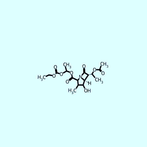 CCOC(=O)OC(C)OC(=O)C1C(C)C(O)[C@@H]2[C@@H](C(C)OC(C)=O)C(=O)N12